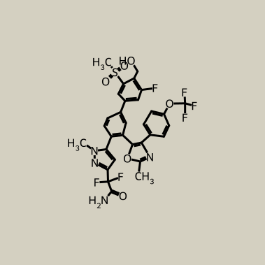 Cc1nc(-c2ccc(OC(F)(F)F)cc2)c(-c2cc(-c3cc(F)c(CO)c(S(C)(=O)=O)c3)ccc2-c2cc(C(F)(F)C(N)=O)nn2C)o1